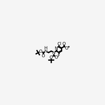 COC(=O)c1cc(F)c(N(CCNC(=O)OC(C)(C)C)C(=O)OC(C)(C)C)nc1Cl